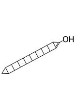 OC1=C2C1C1C2C2C1C1C2C2C3C4C5C6CC6C5C4C3C12